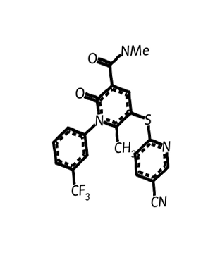 CNC(=O)c1cc(Sc2ccc(C#N)cn2)c(C)n(-c2cccc(C(F)(F)F)c2)c1=O